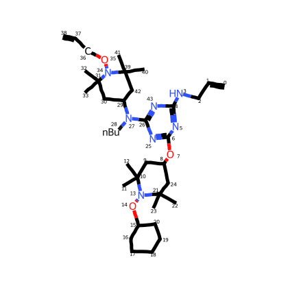 C=CCNc1nc(OC2CC(C)(C)N(OC3CCCCC3)C(C)(C)C2)nc(N(CCCC)C2CC(C)(C)N(OCC=C)C(C)(C)C2)n1